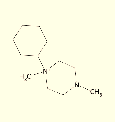 CN1CC[N+](C)(C2CCCCC2)CC1